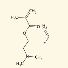 C=C(C)C(=O)OCCN(C)C.C=CF